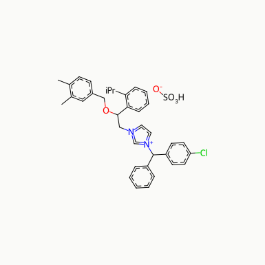 Cc1ccc(COC(Cn2cc[n+](C(c3ccccc3)c3ccc(Cl)cc3)c2)c2ccccc2C(C)C)cc1C.O=S(=O)([O-])O